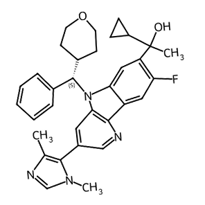 Cc1ncn(C)c1-c1cnc2c3cc(F)c(C(C)(O)C4CC4)cc3n([C@H](c3ccccc3)C3CCOCC3)c2c1